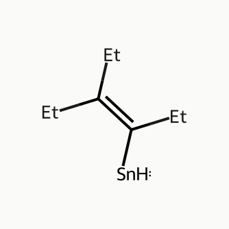 CC[C]([SnH])=C(CC)CC